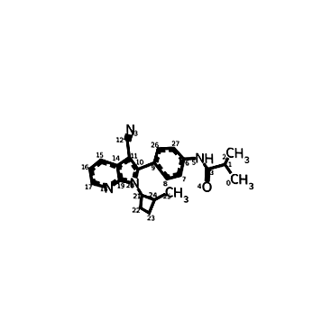 CC(C)C(=O)Nc1ccc(-c2c(C#N)c3cccnc3n2C2CCC2C)cc1